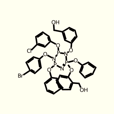 OCc1cccc(ON2P(Oc3cccc(Cl)c3)N(Oc3ccc(Br)cc3)P(Oc3ccccc3)N=P2(Oc2ccccc2)Oc2ccccc2CO)c1